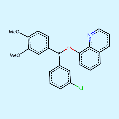 COc1ccc(B(Oc2cccc3cccnc23)c2cccc(Cl)c2)cc1OC